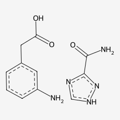 NC(=O)c1nc[nH]n1.Nc1cccc(CC(=O)O)c1